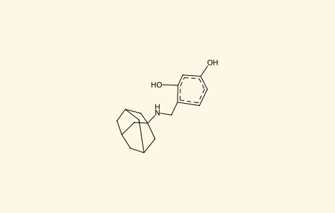 Oc1ccc(CNC23CC4CC(CC(C4)C2)C3)c(O)c1